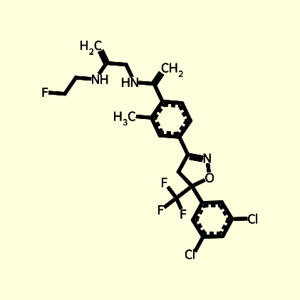 C=C(CNC(=C)c1ccc(C2=NOC(c3cc(Cl)cc(Cl)c3)(C(F)(F)F)C2)cc1C)NCCF